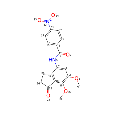 COc1cc(NC(=O)c2ccc([N+](=O)[O-])cc2)c2c(c1OC)C(=O)CC2